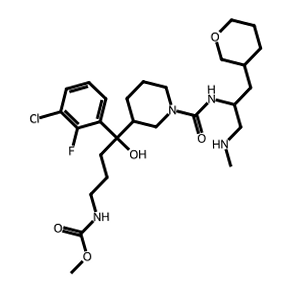 CNCC(CC1CCCOC1)NC(=O)N1CCCC(C(O)(CCCNC(=O)OC)c2cccc(Cl)c2F)C1